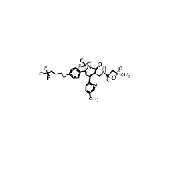 Cc1ccc(C2=C(CNC(=O)CS(C)(=O)=O)C(=O)N[C@@](c3ccc(OCCCC(F)(F)F)cc3)(C(F)(F)F)C2)nc1